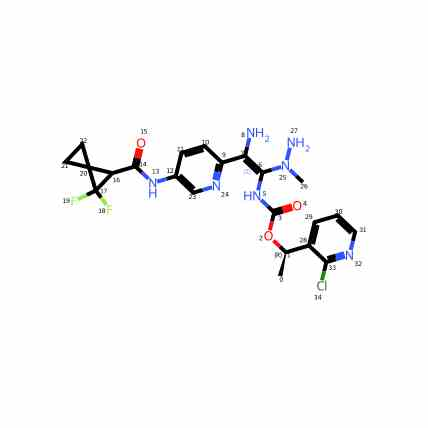 C[C@@H](OC(=O)N/C(=C(/N)c1ccc(NC(=O)C2C(F)(F)C23CC3)cn1)N(C)N)c1cccnc1Cl